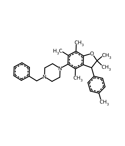 Cc1ccc(C2c3c(C)c(N4CCN(Cc5ccccc5)CC4)c(C)c(C)c3OC2(C)C)cc1